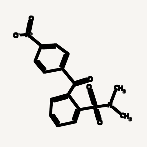 CN(C)S(=O)(=O)c1ccccc1C(=O)c1ccc([N+](=O)[O-])cc1